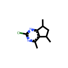 Cc1nc(Cl)nc2c1C(C)CC2C